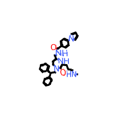 CNCCCC1NC(CNC(=O)c2ccc(-n3cccc3)cc2)CCN(CC(c2ccccc2)c2ccccc2)C1=O